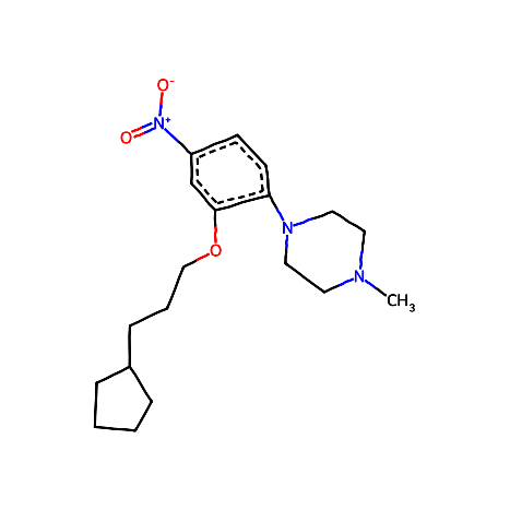 CN1CCN(c2ccc([N+](=O)[O-])cc2OCCCC2CCCC2)CC1